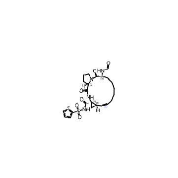 O=CN[C@H]1CCCCC/C=C\[C@@H]2C[C@@]2(C(=O)NS(=O)(=O)c2cccs2)NC(=O)[C@@H]2CCCN2C1=O